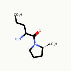 NC(CCC(=O)O)C(=O)N1CCC[C@H]1C(=O)O